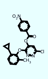 Cc1cccc(C2CC2)c1Oc1nnc(Cl)cc1OC(=O)c1ccc([N+](=O)[O-])cc1